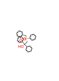 COc1ccccc1C[P@](=O)(CC(O)(c1ccccc1)c1ccccc1)c1ccccc1